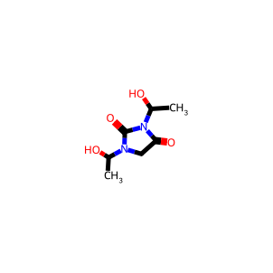 CC(O)N1CC(=O)N(C(C)O)C1=O